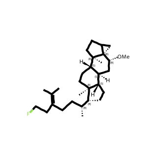 CO[C@@H]1C[C@H]2[C@@H]3CC[C@H]([C@H](C)CCC(CCF)=C(C)C)[C@@]3(C)CC[C@@H]2[C@@]2(C)CCC3C[C@]312